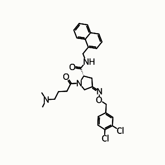 CN(C)CCCC(=O)N1CC(=NOCc2ccc(Cl)c(Cl)c2)C[C@H]1C(=O)NCc1cccc2ccccc12